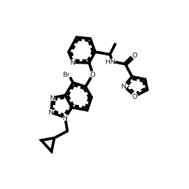 CC(NC(=O)c1ccon1)c1cccnc1Oc1ccc2c(nnn2CC2CC2)c1Br